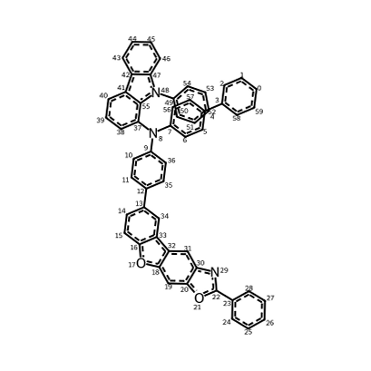 c1ccc(-c2ccc(N(c3ccc(-c4ccc5oc6cc7oc(-c8ccccc8)nc7cc6c5c4)cc3)c3cccc4c5ccccc5n(-c5ccccc5)c34)cc2)cc1